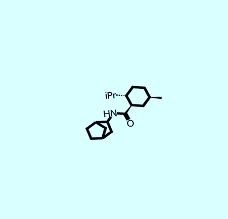 CC(C)[C@@H]1CC[C@@H](C)C[C@H]1C(=O)NC1CC2CCC1C2